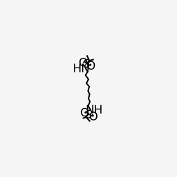 CC(C)S(=O)(=O)NCCCCCCCCCCNS(=O)(=O)C(C)C